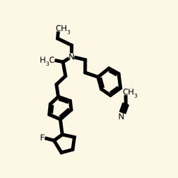 CC#N.CCCN(CCc1ccccc1)C(C)CCc1ccc(C2CCCC2F)cc1